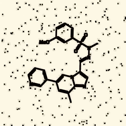 COc1cccc(S(=O)(=O)N(C)N=Cc2cnc3c(C)cc(-c4cccnc4)cn23)c1